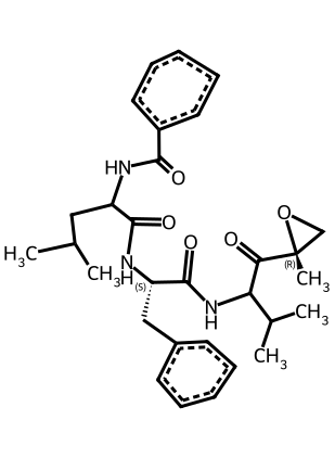 CC(C)CC(NC(=O)c1ccccc1)C(=O)N[C@@H](Cc1ccccc1)C(=O)NC(C(=O)[C@@]1(C)CO1)C(C)C